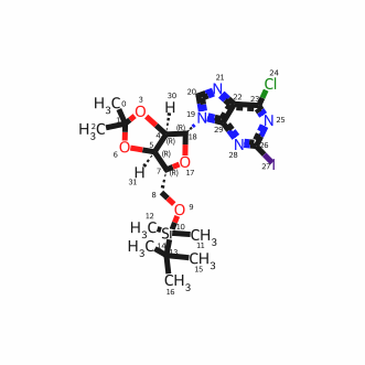 CC1(C)O[C@@H]2[C@H](O1)[C@@H](CO[Si](C)(C)C(C)(C)C)O[C@H]2n1cnc2c(Cl)nc(I)nc21